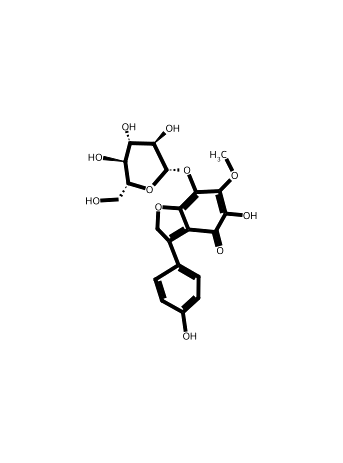 COC1=C(O)C(=O)C2=C(c3ccc(O)cc3)COC2=C1O[C@@H]1O[C@H](CO)[C@@H](O)[C@H](O)[C@H]1O